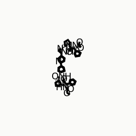 COC(=O)N[C@@H](C(=O)N1CCC[C@H]1C(=O)Nc1ccc(-c2ccc(-c3cnc([C@@H]4CCCN4C(=O)[C@H](NC(=O)OC)c4ccccc4)[nH]3)cn2)cc1)c1ccccc1